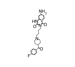 Nc1ccc2c(=O)n(CCCCN3CCC(C(=O)c4ccc(F)cc4)CC3)c(=O)[nH]c2c1